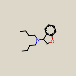 CCCCN(CCCC)C1[C]Oc2ccccc21